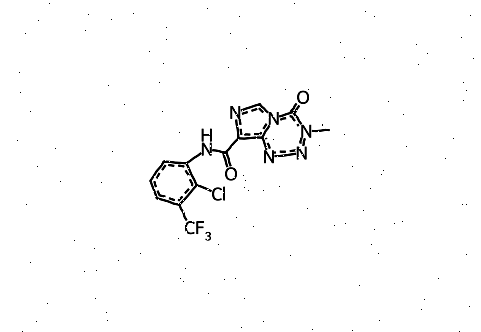 Cn1nnc2c(C(=O)Nc3cccc(C(F)(F)F)c3Cl)ncn2c1=O